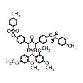 COc1ccc(CNCC(C(=O)C(CNCc2ccc(OC)cc2OC)c2ccc(OS(=O)(=O)c3ccc(C)cc3)cc2)c2ccc(OS(=O)(=O)c3ccc(C)cc3)cc2)c(OC)c1